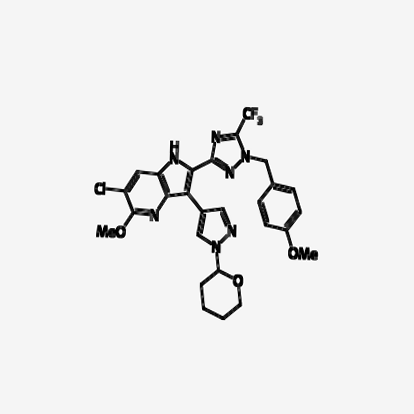 COc1ccc(Cn2nc(-c3[nH]c4cc(Cl)c(OC)nc4c3-c3cnn(C4CCCCO4)c3)nc2C(F)(F)F)cc1